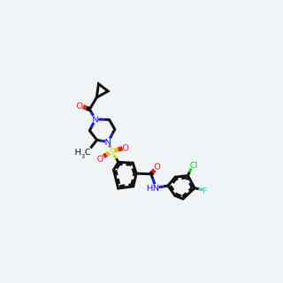 CC1CN(C(=O)C2CC2)CCN1S(=O)(=O)c1cccc(C(=O)Nc2ccc(F)c(Cl)c2)c1